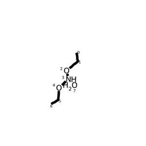 CCONOCC.O